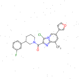 O=C(c1nc2c(C(F)(F)F)cc(-c3ccoc3)cn2c1Cl)N1CCCC(c2cccc(F)c2)C1